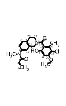 C=CC(=O)N(C)c1ccc2c(c1)CN(C(=O)c1c(O)cc(OC)c(Cl)c1C)CC2